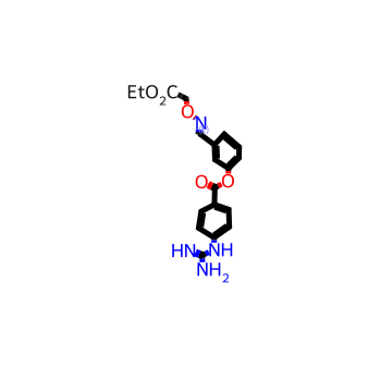 CCOC(=O)CO/N=C/c1cccc(OC(=O)c2ccc(NC(=N)N)cc2)c1